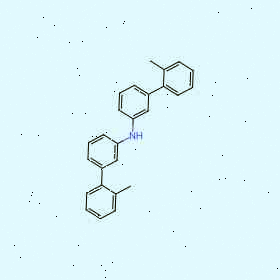 Cc1ccccc1-c1cccc(Nc2cccc(-c3ccccc3C)c2)c1